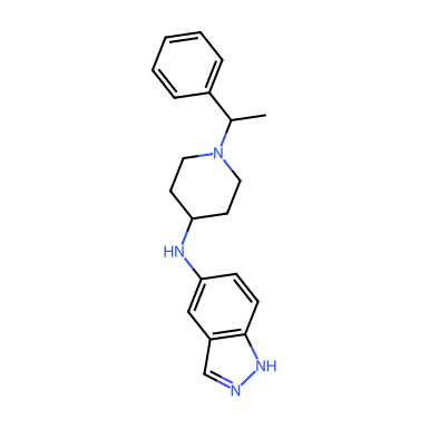 CC(c1ccccc1)N1CCC(Nc2ccc3[nH]ncc3c2)CC1